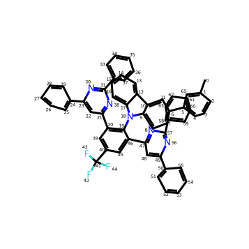 Cc1cccc(-c2ccc3c(c2)c2ccccc2n3-c2c(-c3cc(-c4ccccc4)nc(-c4ccccc4)n3)cc(C(F)(F)F)cc2-c2cc(-c3ccccc3)nc(-c3ccccc3)n2)c1